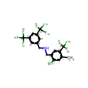 Cc1cc(Br)c(CNCc2cc(C(F)(F)F)cc(C(F)(F)F)c2)cc1C(F)(F)F